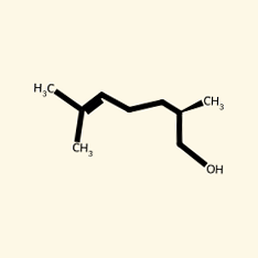 CC(C)=CCC[C@@H](C)CO